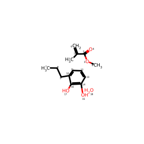 C=C(C)C(=O)OC.CCCc1cccc(O)c1O.O